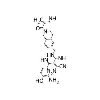 C=C(C=N)C(=O)N1CCc2cc(CNC(=N)/C(C(=N)c3ccc(O)c(N)c3)=C(/N)C#N)ccc2C1